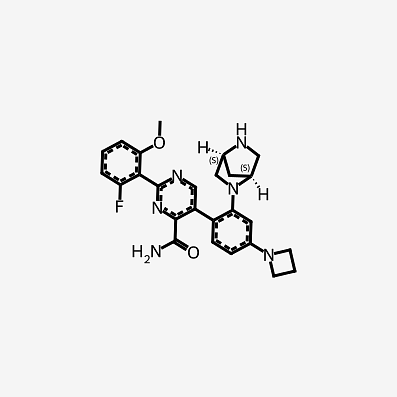 COc1cccc(F)c1-c1ncc(-c2ccc(N3CCC3)cc2N2C[C@@H]3C[C@H]2CN3)c(C(N)=O)n1